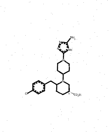 CCOC(=O)[C@@H]1CCC(Cc2ccc(Cl)cc2)N(C2CCN(c3nnc(N)[nH]3)CC2)C1